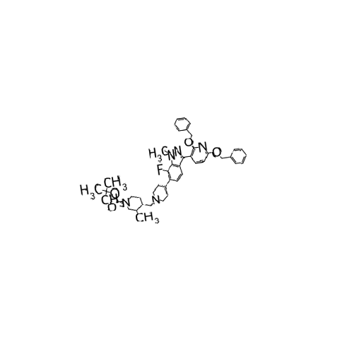 CC1CN(C(=O)OC(C)(C)C)CCC1CN1CC=C(c2ccc3c(-c4ccc(OCc5ccccc5)nc4OCc4ccccc4)nn(C)c3c2F)CC1